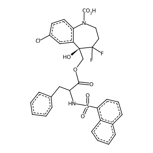 O=C(OC[C@]1(O)c2cc(Cl)ccc2N(C(=O)O)CCC1(F)F)C(Cc1ccccc1)NS(=O)(=O)c1cccc2ccccc12